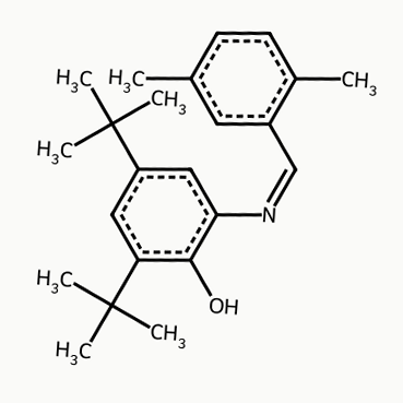 Cc1ccc(C)c(/C=N\c2cc(C(C)(C)C)cc(C(C)(C)C)c2O)c1